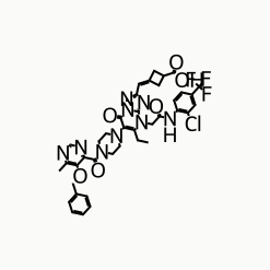 CCc1c(N2CCN(C(=O)c3ncnc(C)c3OCc3ccccc3)CC2)c(=O)n2nc(C=C3CC(C(=O)O)C3)nc2n1CC(=O)Nc1ccc(C(F)(F)F)cc1Cl